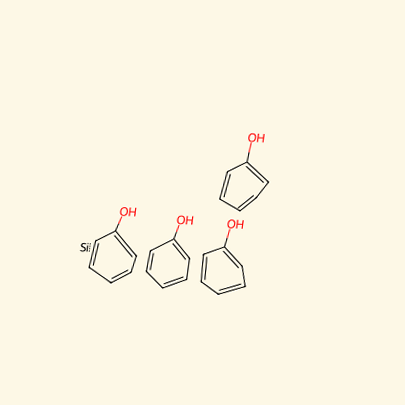 Oc1ccccc1.Oc1ccccc1.Oc1ccccc1.Oc1ccccc1.[Si]